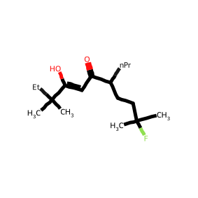 CCCC(CCC(C)(C)F)C(=O)/C=C(\O)C(C)(C)CC